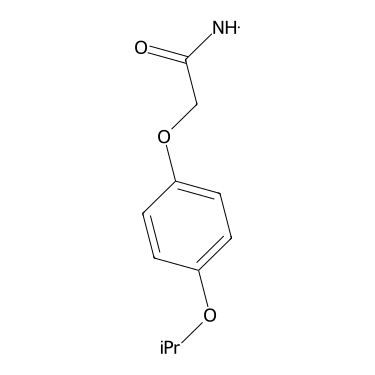 CC(C)Oc1ccc(OCC([NH])=O)cc1